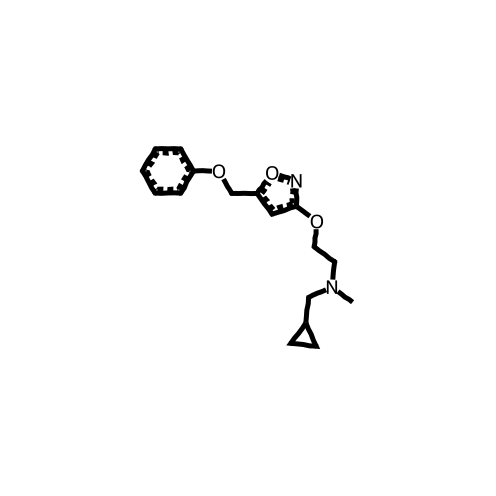 CN(CCOc1cc(COc2ccccc2)on1)CC1CC1